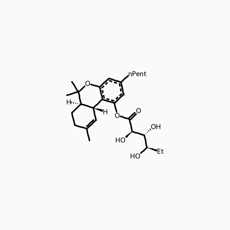 CCCCCc1cc(OC(=O)[C@H](O)[C@H](O)[C@H](O)CC)c2c(c1)OC(C)(C)[C@@H]1CCC(C)=C[C@@H]21